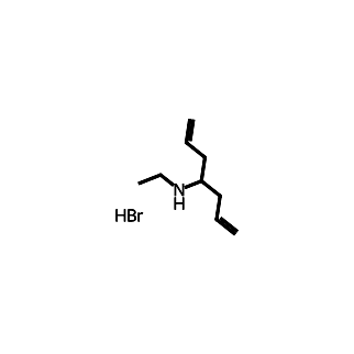 Br.C=CCC(CC=C)NCC